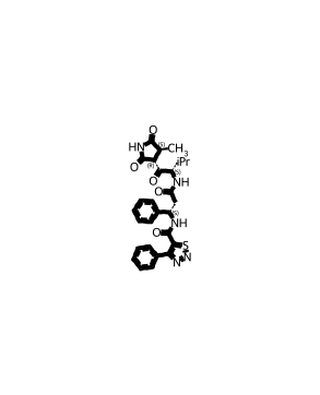 CC(C)[C@H](NC(=O)C[C@H](NC(=O)c1snnc1-c1ccccc1)c1ccccc1)C(=O)[C@@H]1C(=O)NC(=O)[C@H]1C